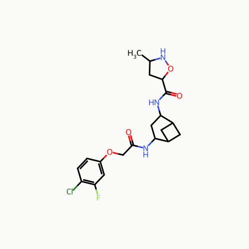 CC1CC(C(=O)NC2CC(NC(=O)COc3ccc(Cl)c(F)c3)C3CC2C3)ON1